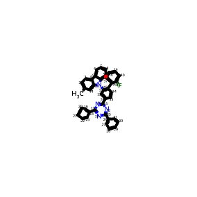 Cc1ccc2c3ccccc3n(-c3cc(-c4nc(-c5ccccc5)nc(-c5ccccc5)n4)ccc3-c3ccccc3F)c2c1